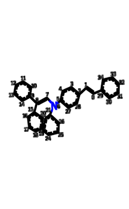 C(=Cc1ccc(N(C=C(c2ccccc2)c2ccccc2)c2ccccc2)cc1)c1ccccc1